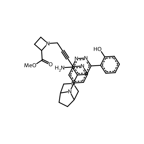 COC(=O)C1CCN1CC#Cc1cc(N2C3CCC2CN(c2cc(-c4ccccc4O)nnc2N)C3)ccn1